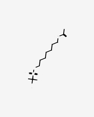 CC(=O)NCCCCCCCOS(=O)(=O)C(F)(F)F